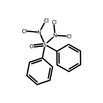 O=S(c1ccccc1)(c1ccccc1)(N(Cl)Cl)N(Cl)Cl